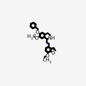 CCOc1ccc(/C=C/C2NCCc3cc(OCc4ccccc4)c(OC)cc32)c2ccoc12